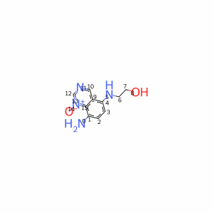 Nc1ccc(NCCO)c2cnc[n+]([O-])c12